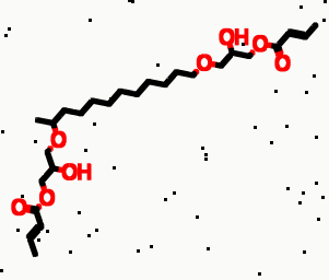 CC=CC(=O)OCC(O)COCCCCCCCCCCC(C)OCC(O)COC(=O)C=CC